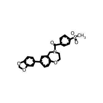 CS(=O)(=O)c1ccc(C(=O)N2CCOc3ccc(-c4ccc5c(c4)OCO5)cc3C2)cc1